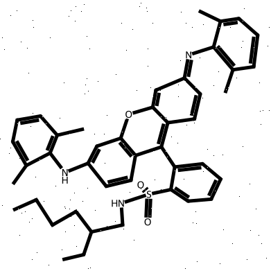 CCCCC(CC)CNS(=O)(=O)c1ccccc1-c1c2cc/c(=N\c3c(C)cccc3C)cc-2oc2cc(Nc3c(C)cccc3C)ccc12